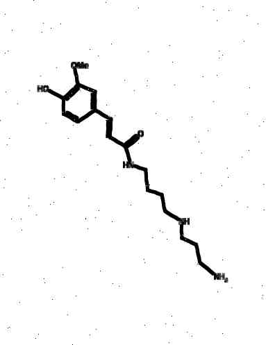 COc1cc(/C=C/C(=O)NCCCCNCCCN)ccc1O